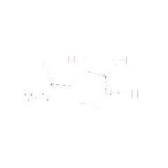 C=C(/C(O)=C/C(=O)NC)N(C)C